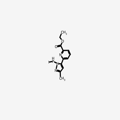 CCOC(=O)c1cccc(-c2cc(C)nn2PI)n1